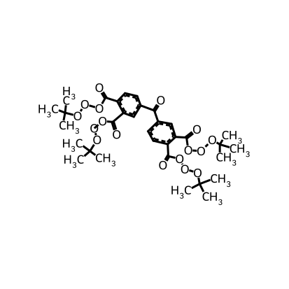 CC(C)(C)OOOC(=O)c1ccc(C(=O)c2ccc(C(=O)OOOC(C)(C)C)c(C(=O)OOOC(C)(C)C)c2)cc1C(=O)OOOC(C)(C)C